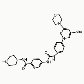 CCCCC1=CN(c2ccc(NC(=O)Nc3ccc(C(=O)NC4CCN(C)CC4)cc3)cc2)SC(N2CCOCC2)=C1